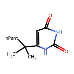 CCCCCC(C)(C)c1cc(=O)[nH]c(=O)[nH]1